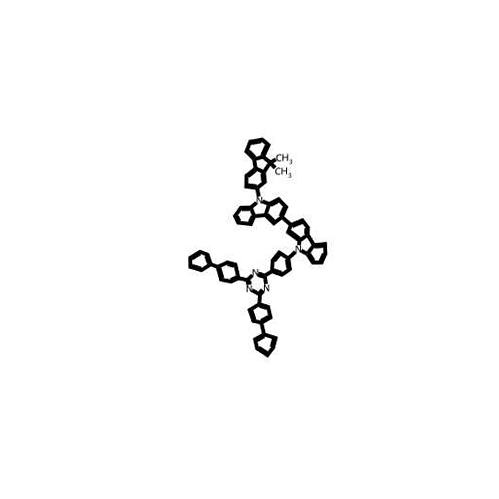 CC1(C)c2ccccc2-c2ccc(-n3c4ccccc4c4cc(-c5ccc6c7ccccc7n(-c7ccc(-c8nc(-c9ccc(-c%10ccccc%10)cc9)nc(-c9ccc(-c%10ccccc%10)cc9)n8)cc7)c6c5)ccc43)cc21